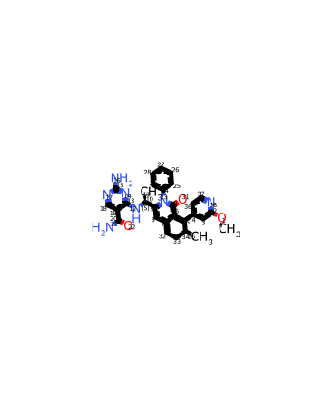 COc1cc(C2=c3c(cc([C@H](C)Nc4nc(N)ncc4C(N)=O)n(-c4ccccc4)c3=O)=CCC2C)ccn1